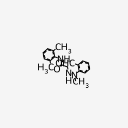 Cc1cccc(C)c1NC(=O)CNN(C)c1ccccc1C=O